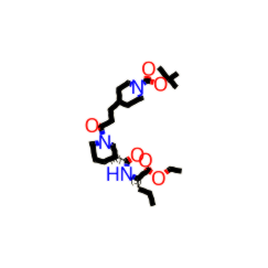 CCC[C@H](NC(=O)[C@@H]1CCCN(C(=O)CCC2CCN(C(=O)OC(C)(C)C)CC2)C1)C(=O)OCC